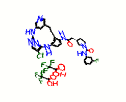 O=C(C[C@H]1CCN(C(=O)Nc2cccc(F)c2)C1)Nc1ccc2cc1CCc1cncc(c1)Nc1ncc(Cl)c(n1)N2.O=C(O)C(F)(F)F.O=C(O)C(F)(F)F